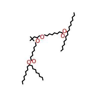 CCCCCCCCC(CCCCCCCC)OC(=O)CCCCCCCOCC(CC(C)(C)C)OCCCCCCCC(=O)OC(CCCCCCCC)CCCCCCCC